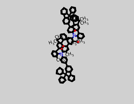 Cc1cc(-c2ccc(N(c3ccc(-c4ccc5c(c4)C(c4ccccc4)(c4ccccc4)c4ccccc4-5)cc3)c3c(C)cccc3-c3ccc4c(c3)C(C)(C)c3ccccc3-4)c(C)c2)ccc1N(c1ccc(-c2ccc3c(c2)C(c2ccccc2)(c2ccccc2)c2ccccc2-3)cc1)c1c(C)cccc1-c1ccc2c(c1)C(C)(C)c1ccccc1-2